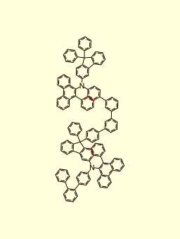 c1ccc(-c2ccccc2-c2ccc(N(c3ccc4c(c3)-c3ccccc3C4(c3ccccc3)c3ccc(-c4cccc(-c5cccc(-c6ccc(N(c7ccc8c(c7)-c7ccccc7C8(c7ccccc7)c7ccccc7)c7c(-c8ccccc8)c8ccccc8c8ccccc78)cc6)c5)c4)cc3)c3c(-c4ccccc4)c4ccccc4c4ccccc34)cc2)cc1